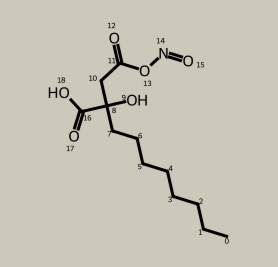 CCCCCCCCC(O)(CC(=O)ON=O)C(=O)O